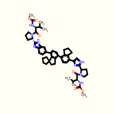 COC(=O)N[C@H](C(=O)N1CCCC1c1nc(-c2ccc(-c3ccc(-c4ccc5nc([C@@H]6CCCN6C(=O)[C@@H](NC(=O)OC)C(C)C)[nH]c5c4)c4c3CCC43CCCC3)c3c2CCC3)c[nH]1)C(C)C